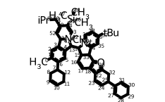 Cc1cc2c(cc1C1CC=CCC1)C(C1C3C=Cc4c(oc5c4C=CC(C4=CCCC=C4)C5)C3c3cc(C(C)(C)C)cc[n+]31)[N+]1(C)C=C([Si](C)(C)C)C(CC(C)C)=CC21